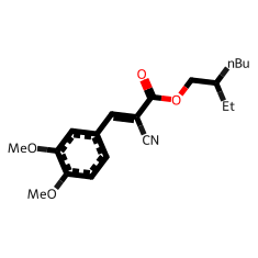 CCCCC(CC)COC(=O)/C(C#N)=C/c1ccc(OC)c(OC)c1